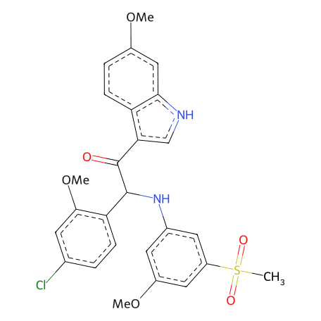 COc1cc(NC(C(=O)c2c[nH]c3cc(OC)ccc23)c2ccc(Cl)cc2OC)cc(S(C)(=O)=O)c1